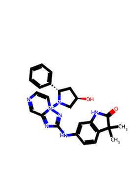 CC1(C)C(=O)Nc2cc(NC3=N[N+]4(N5C[C@H](O)C[C@H]5c5ccccc5)C=CN=CC4=N3)ccc21